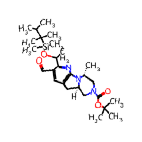 CC(O[Si](C)(C)C(C)(C)C(C)C)c1nc2c(cc1C=O)C[C@@H]1CN(C(=O)OC(C)(C)C)C[C@@H](C)N21